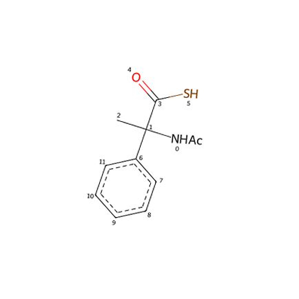 CC(=O)NC(C)(C(=O)S)c1ccccc1